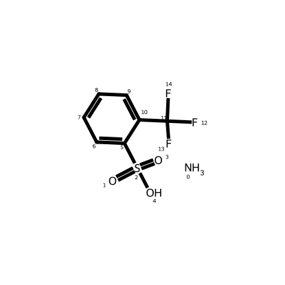 N.O=S(=O)(O)c1ccccc1C(F)(F)F